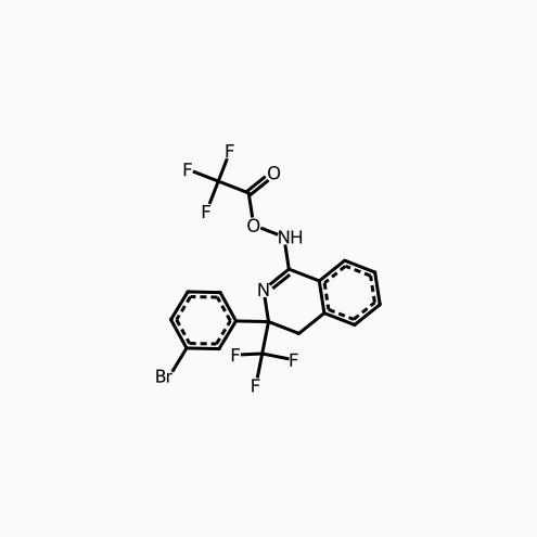 O=C(ONC1=NC(c2cccc(Br)c2)(C(F)(F)F)Cc2ccccc21)C(F)(F)F